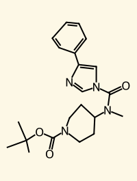 CN(C(=O)n1cnc(-c2ccccc2)c1)C1CCN(C(=O)OC(C)(C)C)CC1